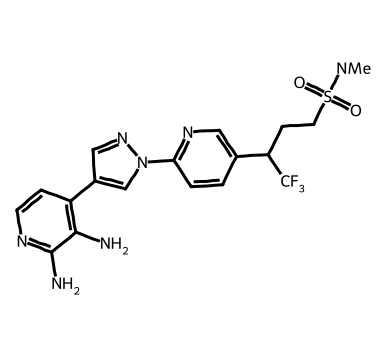 CNS(=O)(=O)CCC(c1ccc(-n2cc(-c3ccnc(N)c3N)cn2)nc1)C(F)(F)F